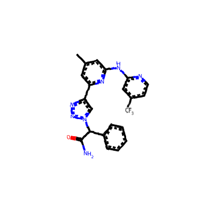 Cc1cc(Nc2cc(C(F)(F)F)ccn2)nc(-c2cn(C(C(N)=O)c3ccccc3)nn2)c1